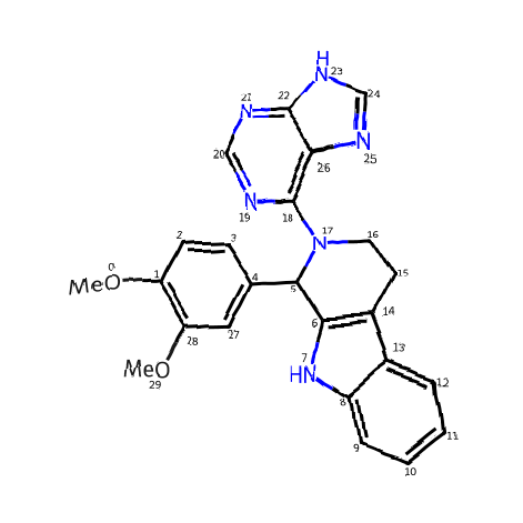 COc1ccc(C2c3[nH]c4ccccc4c3CCN2c2ncnc3[nH]cnc23)cc1OC